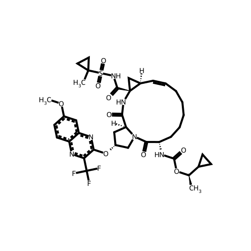 COc1ccc2nc(C(F)(F)F)c(O[C@@H]3C[C@H]4C(=O)N[C@]5(C(=O)NS(=O)(=O)C6(C)CC6)C[C@H]5/C=C\CCCCC[C@H](NC(=O)O[C@H](C)C5CC5)C(=O)N4C3)nc2c1